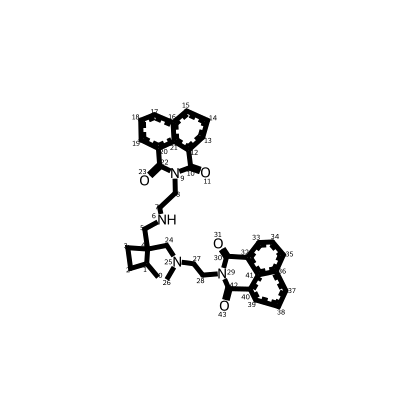 CC1CCC1(CNCCN1C(=O)c2cccc3cccc(c23)C1=O)CN(C)CCN1C(=O)c2cccc3cccc(c23)C1=O